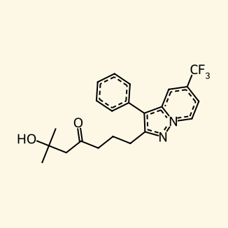 CC(C)(O)CC(=O)CCCc1nn2ccc(C(F)(F)F)cc2c1-c1ccccc1